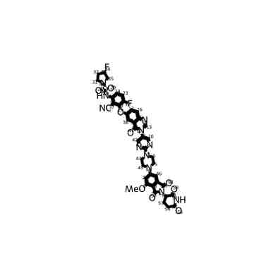 COc1cc(N2CCN(c3ncc(-n4cnc5ccc(Oc6c(F)ccc(NS(=O)(=O)N7CC[C@@H](F)C7)c6C#N)cc5c4=O)cn3)CC2)cc2c1C(=O)N(C1CCC(=O)NC1=O)C2=O